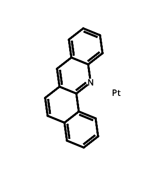 [Pt].c1ccc2nc3c(ccc4ccccc43)cc2c1